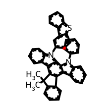 CC1(C)c2ccccc2-c2c1c1c3ccccc3n(-c3ccc4sc5ccccc5c4c3)c1c1c2c2ccccc2n1-c1ccccc1